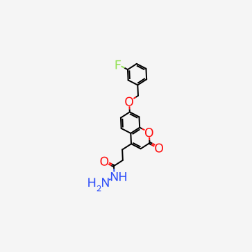 NNC(=O)CCc1cc(=O)oc2cc(OCc3cccc(F)c3)ccc12